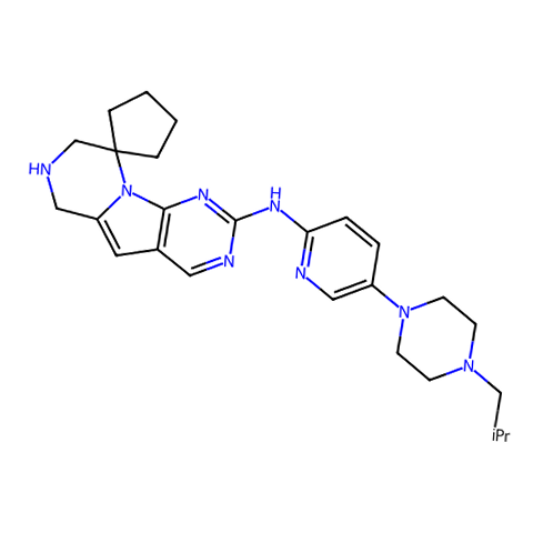 CC(C)CN1CCN(c2ccc(Nc3ncc4cc5n(c4n3)C3(CCCC3)CNC5)nc2)CC1